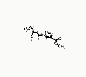 CCC(F)CCn1cc(C(=O)OC)nn1